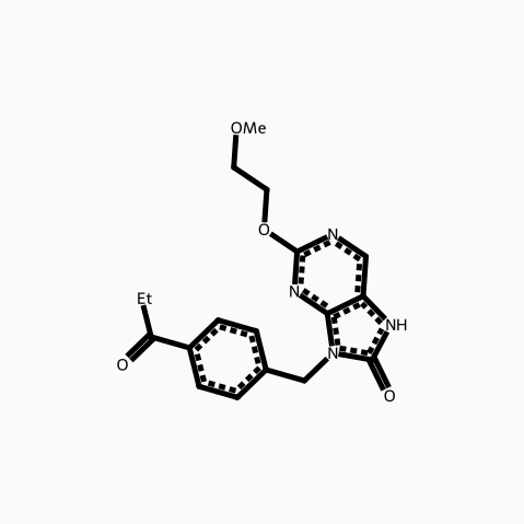 CCC(=O)c1ccc(Cn2c(=O)[nH]c3cnc(OCCOC)nc32)cc1